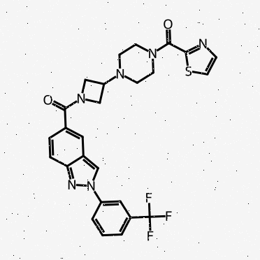 O=C(c1ccc2nn(-c3cccc(C(F)(F)F)c3)cc2c1)N1CC(N2CCN(C(=O)c3nccs3)CC2)C1